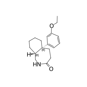 CCOc1cccc([C@@]23CCCC[C@H]2CNC(=O)CC3)c1